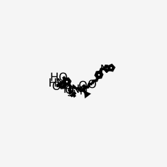 CC(C)(C)[Si](C)(C)O[C@@H](CNCCN(C(=O)CCOCCc1ccc(CN2CC3CCCC3C2)cc1)C1CC1)c1ccc(O)c2[nH]c(=O)ccc12